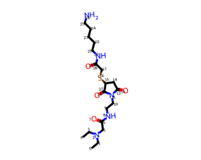 CCN(CC)CC(=O)NCCN1C(=O)CC(SCC(=O)NCCCCCN)C1=O